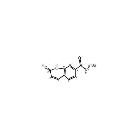 CCCCNC(=O)c1ccc2ccc(=O)oc2c1